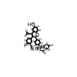 C[C@@H]1CCN([C@@H](C)CS(=O)(=O)c2ccc(C3Oc4ccc(O)cc4C(C4CC4)=C3c3ccc(F)c(C#N)c3)cc2)C1